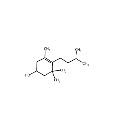 CC1=C(CCC(C)C)C(C)(C)CC(O)C1